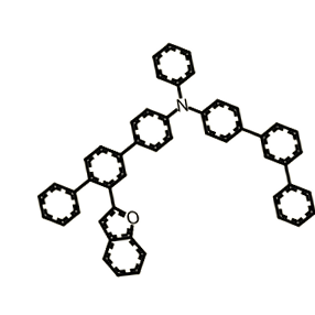 c1ccc(-c2cccc(-c3ccc(N(c4ccccc4)c4ccc(-c5ccc(-c6ccccc6)c(-c6cc7ccccc7o6)c5)cc4)cc3)c2)cc1